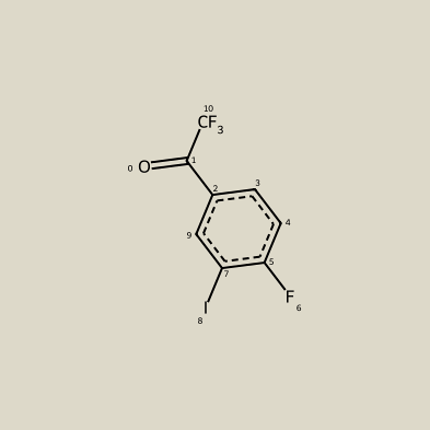 O=C(c1ccc(F)c(I)c1)C(F)(F)F